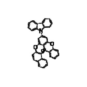 S=P12c3ccccc3Oc3cc(-n4c5ccccc5c5ccccc54)cc(c31)Oc1ccc3ccccc3c12